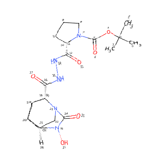 CC(C)(C)OC(=O)N1CCC[C@H]1C(=O)NNC(=O)[C@H]1CC[C@H]2CN1C(=O)N2O